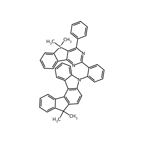 CC1(C)c2ccccc2-c2c1ccc1c2c2ccccc2n1-c1ccccc1-c1nc(-c2ccccc2)c2c(n1)-c1ccccc1S2(C)C